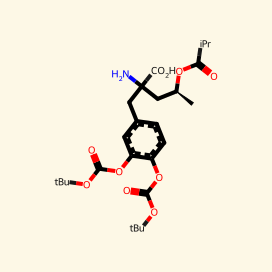 CC(C)C(=O)O[C@@H](C)CC(N)(Cc1ccc(OC(=O)OC(C)(C)C)c(OC(=O)OC(C)(C)C)c1)C(=O)O